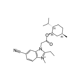 CCc1n(CC(=O)O[C@@H]2C[C@H](C)CC[C@H]2C(C)C)c2cc(C#N)ccc2[n+]1C